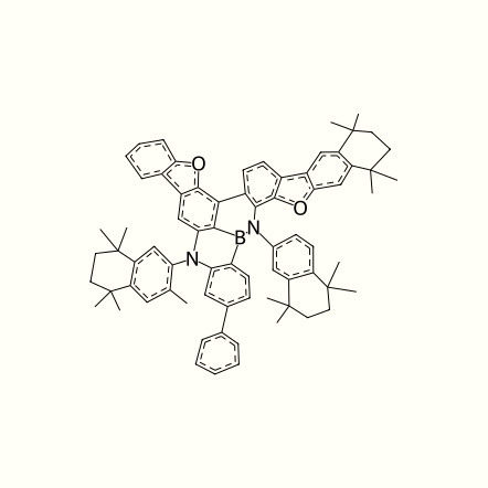 Cc1cc2c(cc1N1c3cc(-c4ccccc4)ccc3B3c4c1cc1c(oc5ccccc51)c4-c1ccc4c(oc5cc6c(cc54)C(C)(C)CCC6(C)C)c1N3c1ccc3c(c1)C(C)(C)CCC3(C)C)C(C)(C)CCC2(C)C